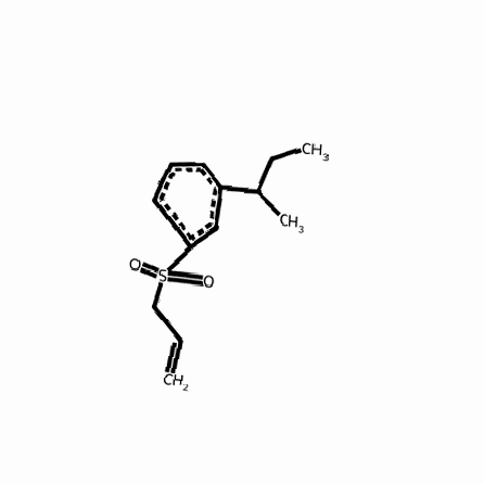 C=CCS(=O)(=O)c1cccc(C(C)CC)c1